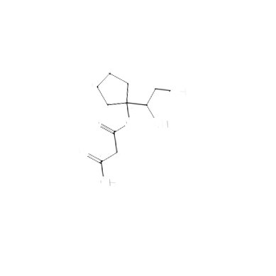 CCC(C)C1(OC(=O)CC(=O)O)CCCC1